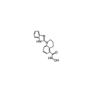 O=C(NO)c1cccc2c1CCCN2c1nc2ccccc2[nH]1